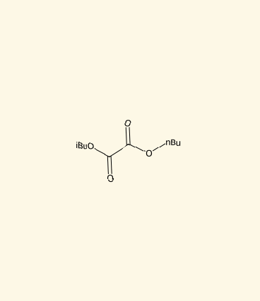 CCCCOC(=O)C(=O)OCC(C)C